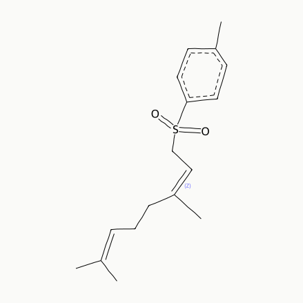 CC(C)=CCC/C(C)=C\CS(=O)(=O)c1ccc(C)cc1